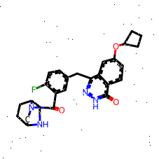 O=C(c1cc(Cc2n[nH]c(=O)c3ccc(OC4CCC4)cc23)ccc1F)N1CC2CCC1CN2